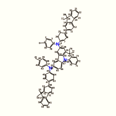 Cc1ccc(N(C2=CC=C(c3ccc4c(c3)C(C)(C)c3ccccc3-4)CC2)c2cc3c4c(c2)c2cc(N(c5ccc(C)cc5)c5ccc(-c6ccc7c(c6)C(C)(C)c6ccccc6-7)cc5)ccc2n4-c2ccccc2C3(C)C)cc1